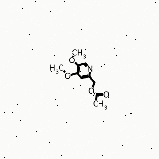 COc1cnc(COC(C)=O)cc1OC